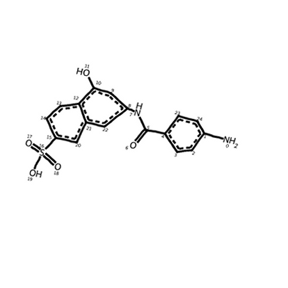 Nc1ccc(C(=O)Nc2cc(O)c3ccc(S(=O)(=O)O)cc3c2)cc1